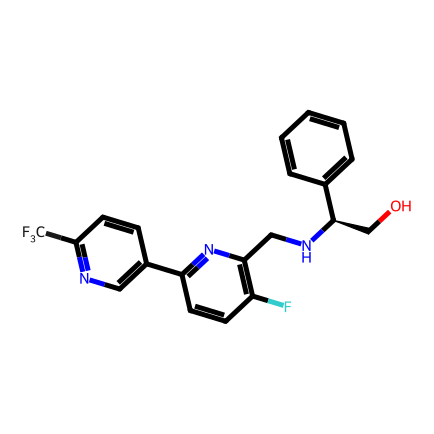 OC[C@@H](NCc1nc(-c2ccc(C(F)(F)F)nc2)ccc1F)c1ccccc1